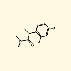 CC(C(=O)N(C)C)c1ccc(F)cc1F